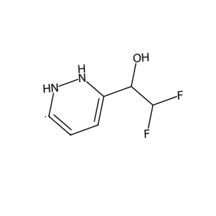 OC(C1=CC=[C]NN1)C(F)F